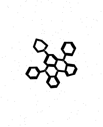 c1ccc(N2c3ccccc3B3c4ccccc4N(c4ccccc4)c4cc(N5CCCCC5)cc2c43)cc1